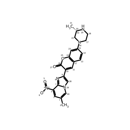 Cc1cc([N+](=O)[O-])c2nc(-c3cc4ccc(N5CCN[C@@H](C)C5)cc4oc3=O)cn2c1